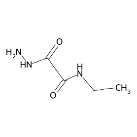 CCNC(=O)C(=O)NN